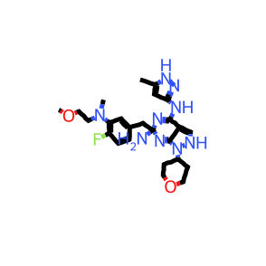 COCCN(C)c1cc(CC2(N)N=C(Nc3cc(C)[nH]n3)C3=CNN(C4CCOCC4)C3=N2)ccc1F